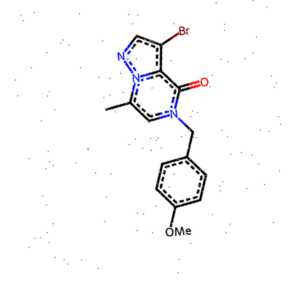 COc1ccc(Cn2cc(C)n3ncc(Br)c3c2=O)cc1